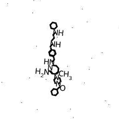 C/C1=C(N2CCN(C(=O)C3CCCCC3)CC2)/C=C(N)\N=C(\NCc2ccc(CNCCCNC3CCCCC3)cc2)CC1